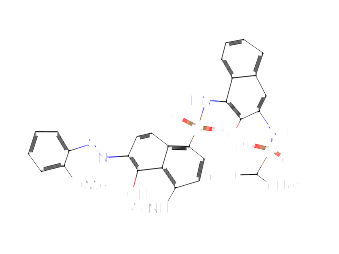 CCCCCCCCC(CCCCCCC)S(=O)(=O)Nc1cc2ccccc2c(NS(=O)(=O)c2ccc(NC(C)=O)c3c(O)c(N=Nc4ccccc4OC)ccc23)c1O